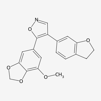 COc1cc(-c2oncc2-c2ccc3c(c2)OCC3)cc2c1OCO2